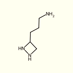 NCCCC1CNN1